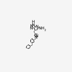 Nc1cc(Cc2cnn(Cc3cccc(Cc4ccccc4)c3)c2)c2nn[nH]c2n1